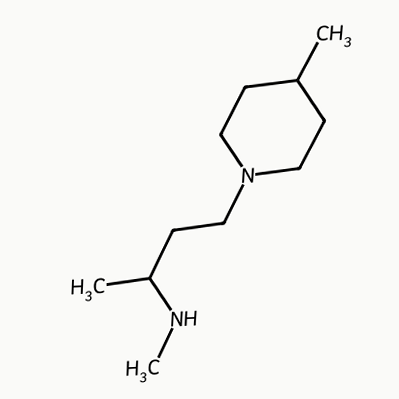 CNC(C)CCN1CCC(C)CC1